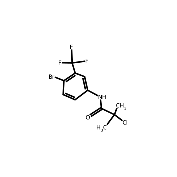 CC(C)(Cl)C(=O)Nc1ccc(Br)c(C(F)(F)F)c1